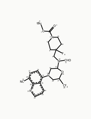 CC(C)(C)OC(=O)N1CCC(F)(CN(C=O)C2CN(c3cnc(C#N)c4ncccc34)CC(C(F)(F)F)O2)CC1